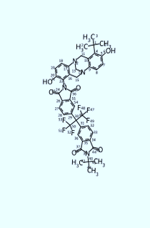 CC(C)(C)c1c(O)ccc2c1CN1CN2Cc2c1ccc(O)c2N1C(=O)c2ccc(C(c3ccc4c(c3)C(=O)N(C(C)(C)C)C4=O)(C(F)(F)F)C(F)(F)F)cc2C1=O